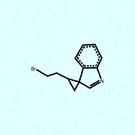 BrCCC1CC12C=Nc1ccccc12